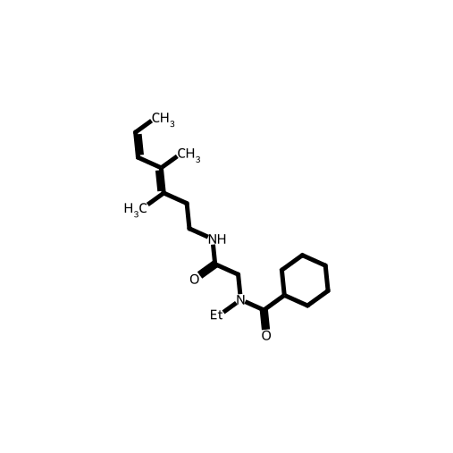 C/C=C\C(C)=C(/C)CCNC(=O)CN(CC)C(=O)C1CCCCC1